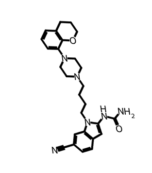 N#Cc1ccc2cc(NC(N)=O)n(CCCCN3CCN(c4cccc5c4OCCC5)CC3)c2c1